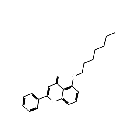 O=c1cc(-c2ccccc2)oc2cccc(OCCCCCCI)c12